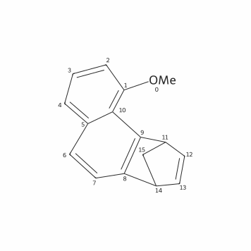 COc1cccc2ccc3c(c12)C1C=CC3C1